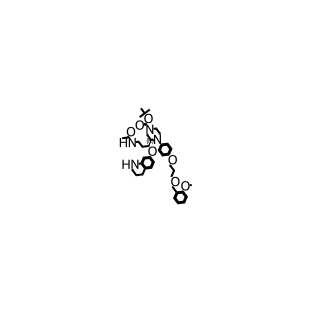 COc1ccccc1COCCCOc1ccc(N2CCN(C(=O)OC(C)(C)C)C[C@@H]2C(CCNC(C)=O)Oc2ccc3c(c2)NCCC3)cc1